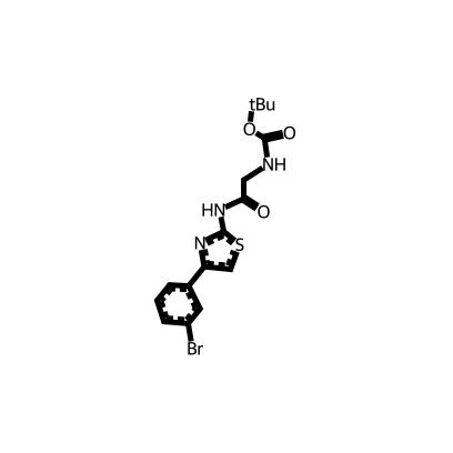 CC(C)(C)OC(=O)NCC(=O)Nc1nc(-c2cccc(Br)c2)cs1